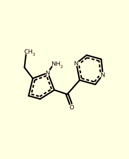 CCc1ccc(C(=O)c2cnccn2)n1N